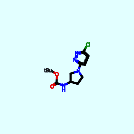 CC(C)(C)OC(=O)NC1CCN(c2ccc(Cl)nn2)C1